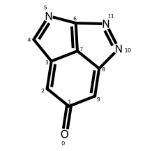 O=C1C=C2C=NC3=C2C(=C1)N=N3